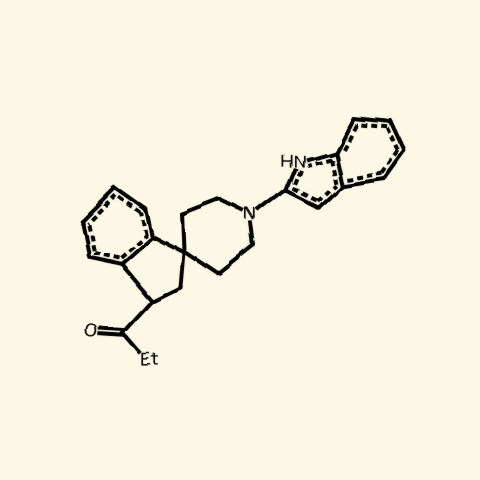 CCC(=O)C1CC2(CCN(c3cc4ccccc4[nH]3)CC2)c2ccccc21